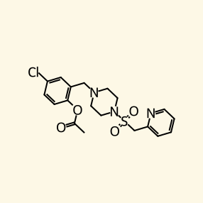 CC(=O)Oc1ccc(Cl)cc1CN1CCN(S(=O)(=O)Cc2ccccn2)CC1